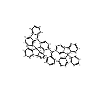 c1ccc(N(c2ccc3c(c2)C(c2ccccc2)(c2ccccc2)c2ccccc2-3)c2ccc3c(c2)C2(c4ccccc4-c4ccccc42)c2cccc4c5ccccc5n-3c24)cc1